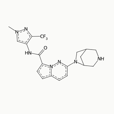 Cn1cc(NC(=O)c2ccc3ccc(N4CC5CNCC4C5)nn23)c(C(F)(F)F)n1